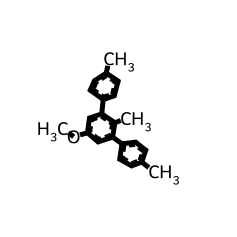 COc1cc(-c2ccc(C)cc2)c(C)c(-c2ccc(C)cc2)c1